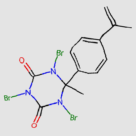 C=C(C)c1ccc(C2(C)N(Br)C(=O)N(Br)C(=O)N2Br)cc1